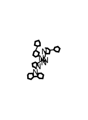 c1ccc(-c2cccc(-n3c(-c4cc(-c5ccccc5)ccn4)nnc3-c3cccc(-n4c5ccccc5c5ccccc54)n3)c2)cc1